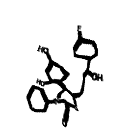 O=C1SC(CCC(O)c2ccc(F)cc2)C(c2ccc(O)cc2O)N1c1ccccc1